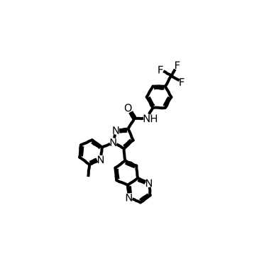 Cc1cccc(-n2nc(C(=O)Nc3ccc(C(F)(F)F)cc3)cc2-c2ccc3nccnc3c2)n1